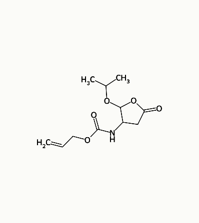 C=CCOC(=O)NC1CC(=O)OC1OC(C)C